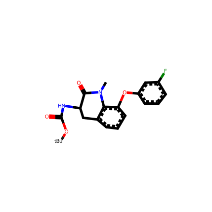 CN1C(=O)C(NC(=O)OC(C)(C)C)Cc2cccc(Oc3cccc(F)c3)c21